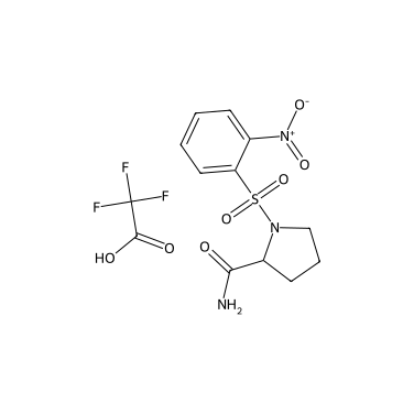 NC(=O)C1CCCN1S(=O)(=O)c1ccccc1[N+](=O)[O-].O=C(O)C(F)(F)F